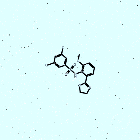 COc1cccc(C2=NCCO2)c1NS(=O)(=O)c1cc(Cl)cc(Cl)c1